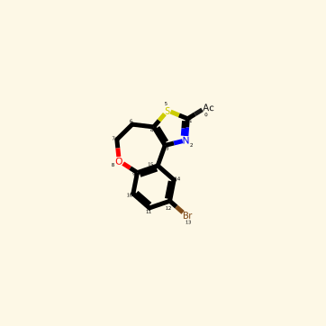 CC(=O)c1nc2c(s1)CCOc1ccc(Br)cc1-2